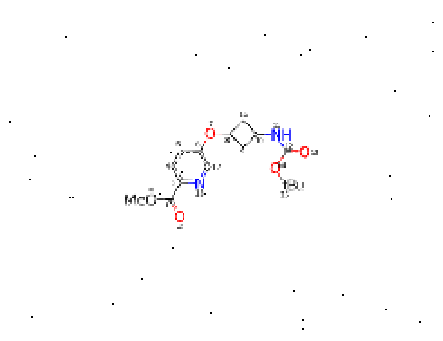 COC(=O)c1ccc(OC2CC(NC(=O)OC(C)(C)C)C2)cn1